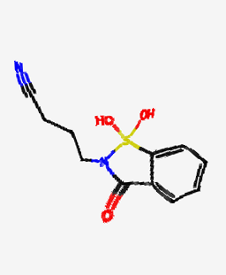 N#CCCCN1C(=O)c2ccccc2S1(O)O